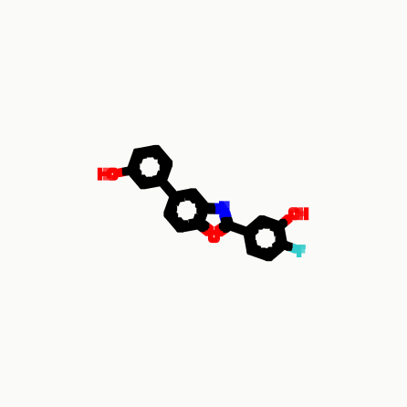 Oc1cccc(-c2ccc3oc(-c4ccc(F)c(O)c4)nc3c2)c1